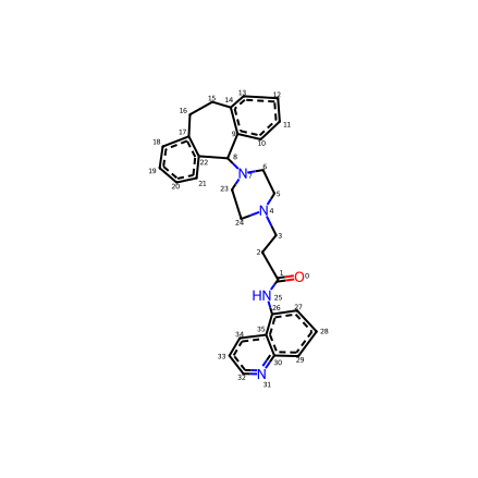 O=C(CCN1CCN(C2c3ccccc3CCc3ccccc32)CC1)Nc1cccc2ncccc12